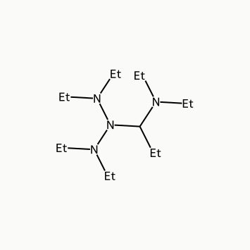 CCC(N(CC)CC)N(N(CC)CC)N(CC)CC